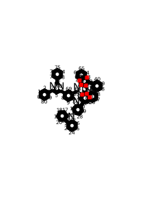 c1ccc(-c2cc(-c3ccc(-n4c5cc(-n6c7ccccc7c7ccccc76)ccc5c5ccc(-n6c7ccccc7c7ccccc76)cc54)c(-c4nc(-c5ccccc5)nc(-c5ccccc5)n4)c3)nc(-c3ccccc3)n2)cc1